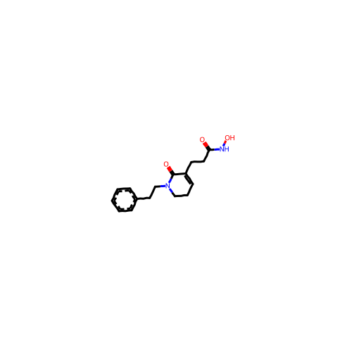 O=C(CCC1=CCCN(CCc2ccccc2)C1=O)NO